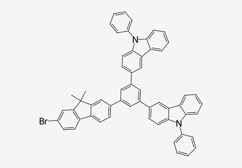 CC1(C)c2cc(Br)ccc2-c2ccc(-c3cc(-c4ccc5c(c4)c4ccccc4n5-c4ccccc4)cc(-c4ccc5c(c4)c4ccccc4n5-c4ccccc4)c3)cc21